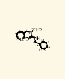 O=[C]N(Cc1cccnc1)C(=O)NCc1ccccc1